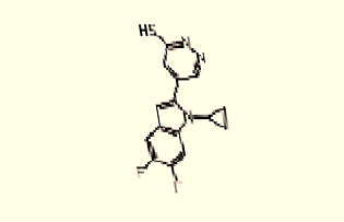 Fc1cc2cc(-c3cnnc(S)c3)n(C3CC3)c2cc1F